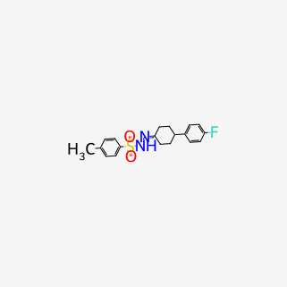 Cc1ccc(S(=O)(=O)NN=C2CCC(c3ccc(F)cc3)CC2)cc1